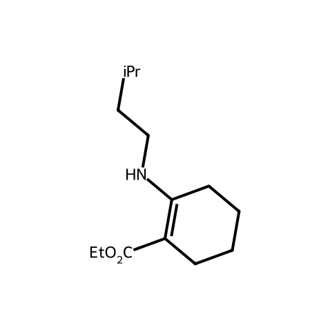 CCOC(=O)C1=C(NCCC(C)C)CCCC1